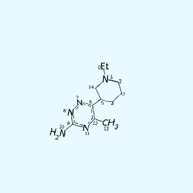 CCN1CCCC(c2nnc(N)nc2C)C1